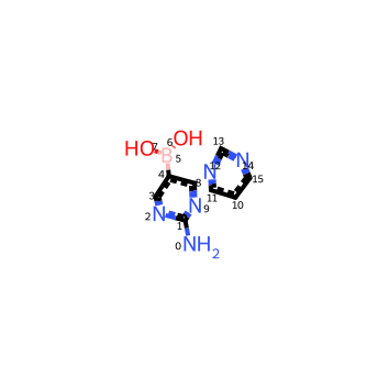 Nc1ncc(B(O)O)cn1.c1cncnc1